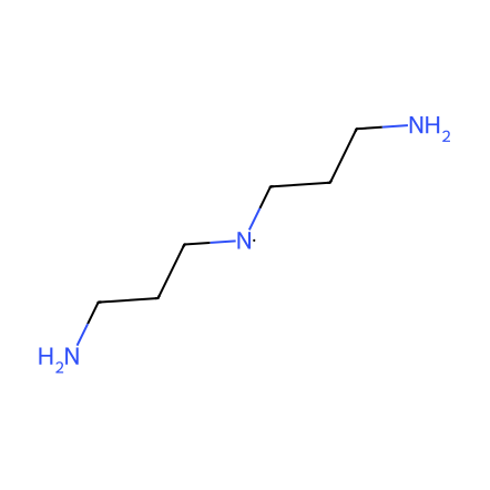 NCCC[N]CCCN